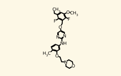 CCc1cc(OC)c(F)c(COc2cnc(Nc3ccc(C)c(OCCN4CCOCC4)c3)nc2)c1F